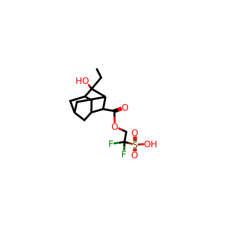 CCC1(O)C2CC3CC(C2)C(C(=O)OCC(F)(F)S(=O)(=O)O)C1C3